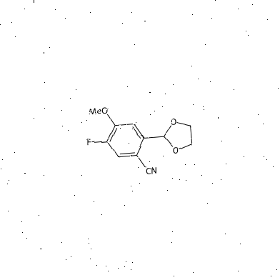 COc1cc(C2OCCO2)c(C#N)cc1F